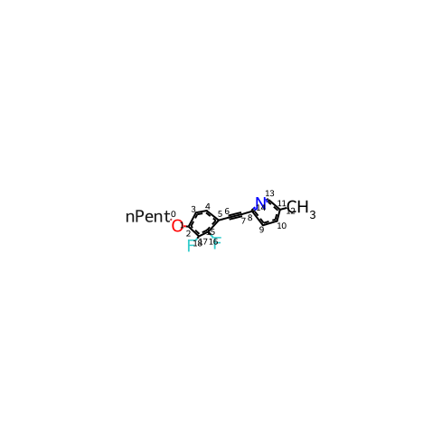 CCCCCOc1ccc(C#Cc2ccc(C)cn2)c(F)c1F